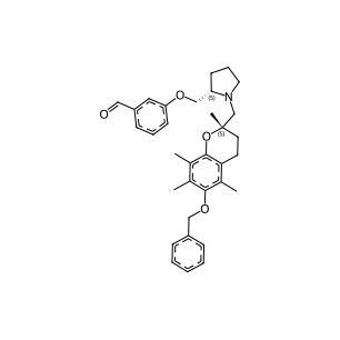 Cc1c(C)c2c(c(C)c1OCc1ccccc1)CC[C@@](C)(CN1CCC[C@H]1COc1cccc(C=O)c1)O2